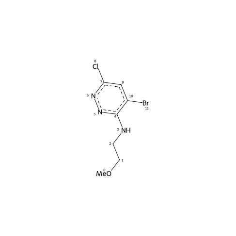 COCCNc1nnc(Cl)cc1Br